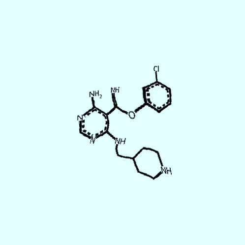 N=C(Oc1cccc(Cl)c1)c1c(N)ncnc1NCC1CCNCC1